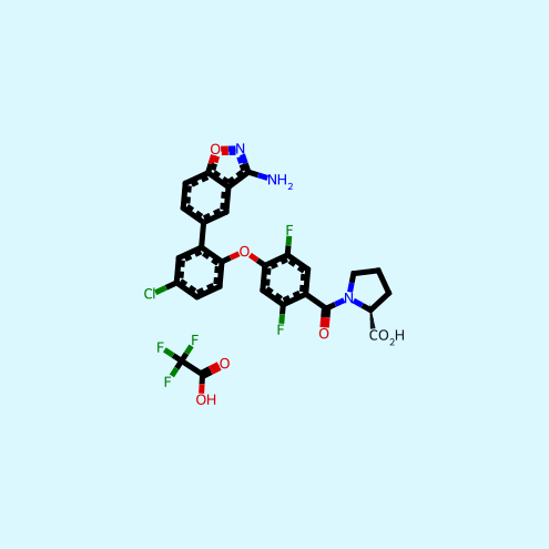 Nc1noc2ccc(-c3cc(Cl)ccc3Oc3cc(F)c(C(=O)N4CCC[C@H]4C(=O)O)cc3F)cc12.O=C(O)C(F)(F)F